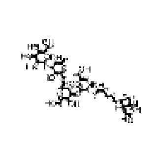 CC1OC(COC2OC(CO)C(O)C(OC3CN(NC(=O)CCCC[C@@H]4SC[C@@H]5NC(=O)N[C@@H]54)CC(CO)O3)C2O)C(O)C(OC2OC(CO)C(O)C(O)C2O)C1O